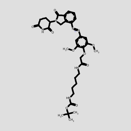 COc1cc(/N=N/c2cccc3c2CN(C2CCC(=O)NC2=O)C3=O)cc(OC)c1OCC(=O)NCCCCCNC(=O)OC(C)(C)C